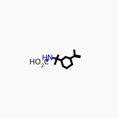 C=C(C)C1CCCC(C(C)(C)NC(=O)O)C1